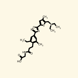 CCc1cc(-c2noc(-c3cc(C)c(CN(CC)CC)s3)n2)cc(C)c1CCC(=O)NCC(=O)O